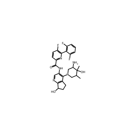 CC1CN(c2c(NC(=O)c3ccc(F)c(-c4c(F)cccc4F)n3)cnc3c2CCC3O)CC(N)C1(C)O